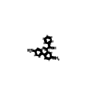 Nc1ccc(-c2ccc(N)cc2C(=O)C(O)c2ccccc2)cc1